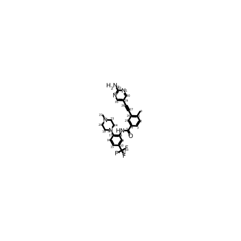 Cc1ccc(C(=O)Nc2cc(C(F)(F)F)ccc2N2CCN(C)CC2)cc1C#Cc1cnc(N)nc1